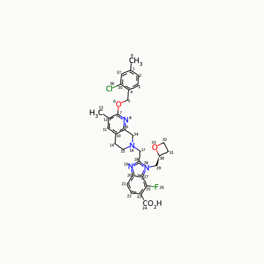 Cc1ccc(COc2nc3c(cc2C)CCN(Cc2nc4ccc(C(=O)O)c(F)c4n2C[C@@H]2CCO2)C3)c(Cl)c1